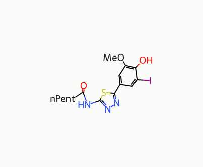 CCCCCC(=O)Nc1nnc(-c2cc(I)c(O)c(OC)c2)s1